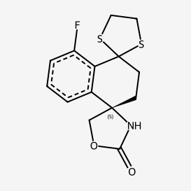 O=C1N[C@]2(CCC3(SCCS3)c3c(F)cccc32)CO1